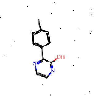 Cc1ccc(-c2nccnc2O)cc1